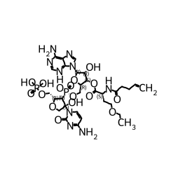 C=CCCC(=O)N[C@@H](CCOCC)C(=O)O[C@H]1[C@@H](O)[C@H](n2cnc3c(N)ncnc32)O[C@@H]1COP(=O)(O)[C@@H]1[C@@H](COP(=O)(O)O)OC[C@@]1(O)n1ccc(N)nc1=O